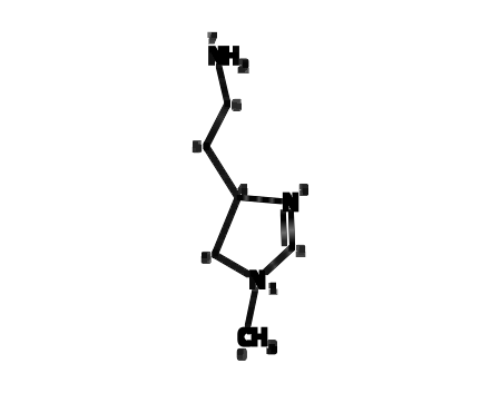 CN1C=NC(CCN)C1